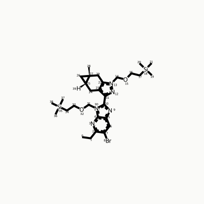 CCc1nc2c(cc1Br)nc(-c1nn(COCC[Si](C)(C)C)c3c1C[C@@H]1C[C@]1(C)C3)n2COCC[Si](C)(C)C